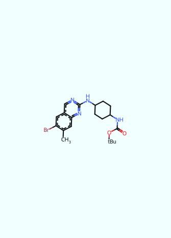 Cc1cc2nc(NC3CCC(NC(=O)OC(C)(C)C)CC3)ncc2cc1Br